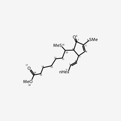 CCCCCC/C=C/C1C=C(SC)C(=O)C1C(CCCCCC(=O)OC)SC